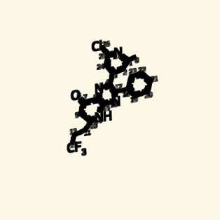 Cc1cc(-c2nc3c(=O)cc(CCC(F)(F)F)[nH]c3nc2-c2ccccc2)cc(Cl)n1